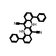 N#CC1=C2NC3C(c4ccccc4)=CC=CC3=C(C#N)C2NC2=C(c3ccccc3)C=CCC12